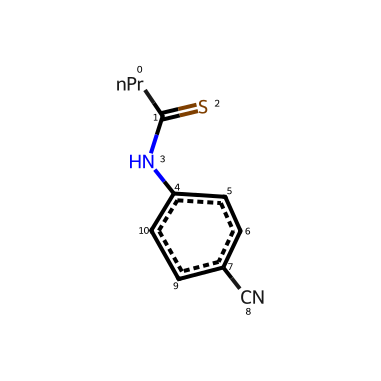 CCCC(=S)Nc1ccc(C#N)cc1